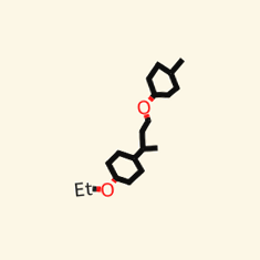 CCOC1CCC(C(C)CCOC2CCC(C)CC2)CC1